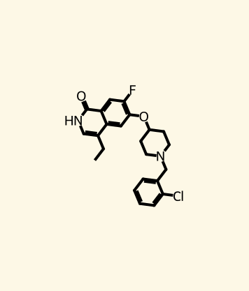 CCc1c[nH]c(=O)c2cc(F)c(OC3CCN(Cc4ccccc4Cl)CC3)cc12